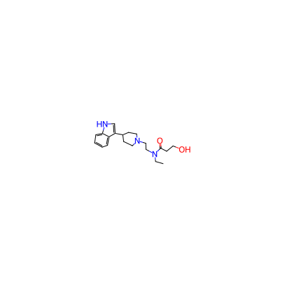 CCN(CCN1CCC(c2c[nH]c3ccccc23)CC1)C(=O)CCO